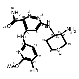 COc1nc(Nc2cc(N[C@@H]3CCOC[C@@H]3N)nnc2C(N)=O)ccc1C(C)C